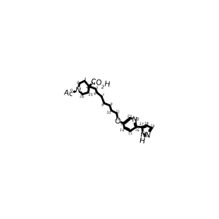 CC(=O)N1CCC(CCCCCCCOc2ccc(-c3ccn[nH]3)nc2)(C(=O)O)CC1